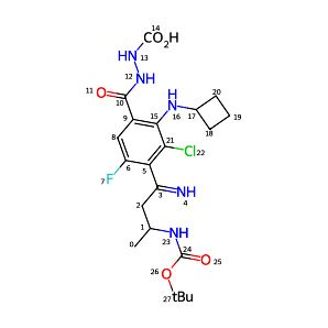 CC(CC(=N)c1c(F)cc(C(=O)NNC(=O)O)c(NC2CCC2)c1Cl)NC(=O)OC(C)(C)C